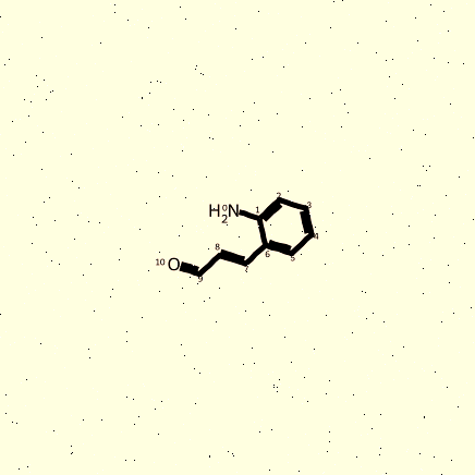 Nc1ccccc1/C=C/C=O